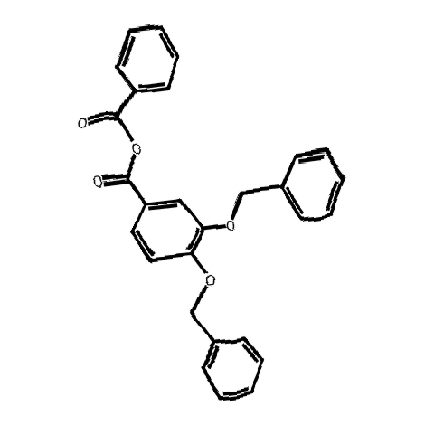 O=C(OC(=O)c1ccc(OCc2ccccc2)c(OCc2ccccc2)c1)c1ccccc1